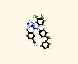 N#Cc1ccc(Cn2cnnc2CN(c2ccc(C(=O)c3ccccc3)cc2)c2ccc(Cl)c(Cl)c2)cc1